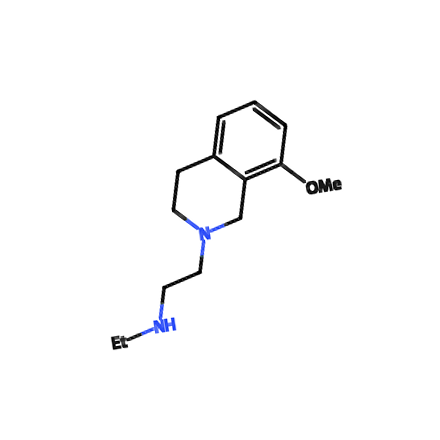 CCNCCN1CCc2cccc(OC)c2C1